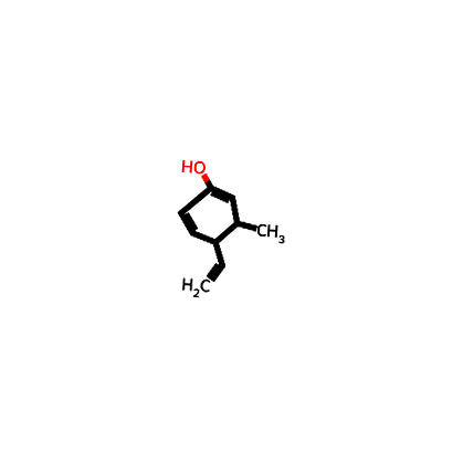 C=CC1C=CC(O)=CC1C